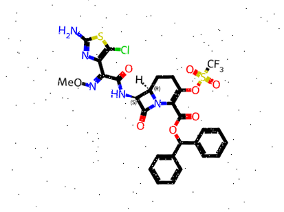 CON=C(C(=O)N[C@@H]1C(=O)N2C(C(=O)OC(c3ccccc3)c3ccccc3)=C(OS(=O)(=O)C(F)(F)F)CC[C@H]12)c1nc(N)sc1Cl